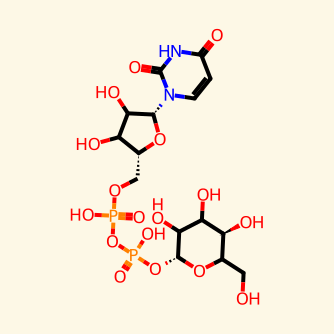 O=c1ccn([C@@H]2O[C@H](COP(=O)(O)OP(=O)(O)O[C@H]3OC(CO)[C@H](O)C(O)C3O)C(O)C2O)c(=O)[nH]1